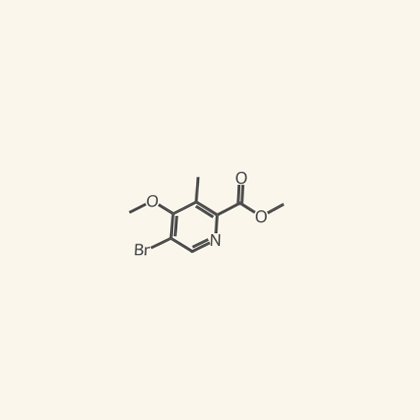 COC(=O)c1ncc(Br)c(OC)c1C